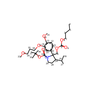 CCCCOC(=O)OCC1(c2ccc(OC)c(OCCCOC)c2)C(C(C)C)CCN1C(=O)OC(C)(C)C